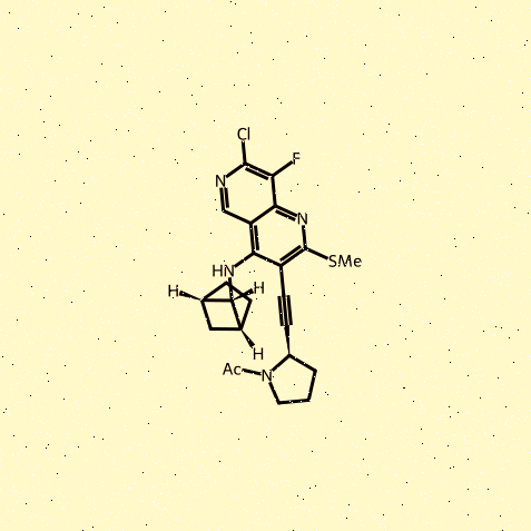 CSc1nc2c(F)c(Cl)ncc2c(N[C@@H]2[C@@H]3CC[C@H]2C3)c1C#C[C@H]1CCCN1C(C)=O